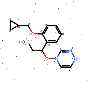 O=C(O)CC(ON1C=CNN=C1)c1ccccc1OCC1CC1